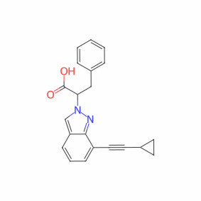 O=C(O)C(Cc1ccccc1)n1cc2cccc(C#CC3CC3)c2n1